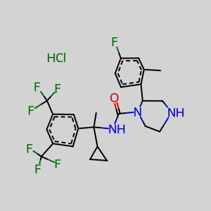 Cc1cc(F)ccc1C1CNCCN1C(=O)NC(C)(c1cc(C(F)(F)F)cc(C(F)(F)F)c1)C1CC1.Cl